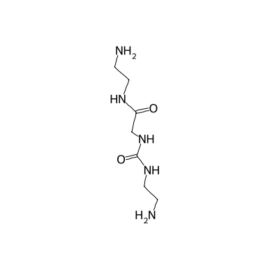 NCCNC(=O)CNC(=O)NCCN